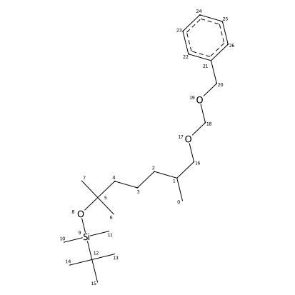 CC(CCCC(C)(C)O[Si](C)(C)C(C)(C)C)COCOCc1ccccc1